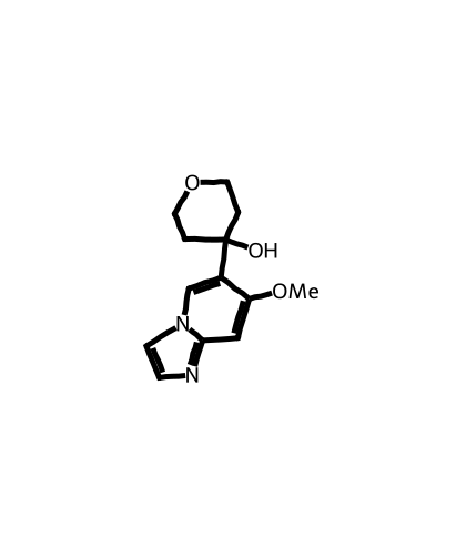 COc1cc2nccn2cc1C1(O)CCOCC1